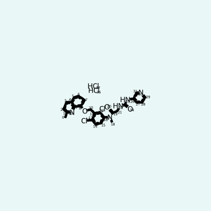 Cc1ccc2cccc(OCc3c(Cl)ccc(N(C)C(=O)CNC(=O)Nc4cccnc4)c3Cl)c2n1.Cl.Cl